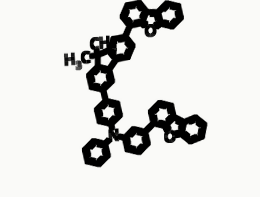 CC1(C)c2ccc(-c3ccc(N(c4ccccc4)c4cccc(-c5cccc6c5oc5ccccc56)c4)cc3)cc2-c2ccc(-c3cccc4c3oc3ccccc34)cc21